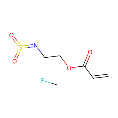 C=CC(=O)OCCN=S(=O)=O.CF